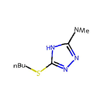 CCCCSc1nnc(NC)[nH]1